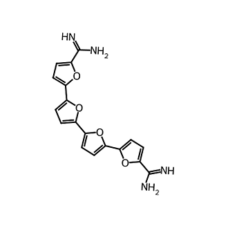 N=C(N)c1ccc(-c2ccc(-c3ccc(-c4ccc(C(=N)N)o4)o3)o2)o1